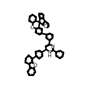 C1=C(c2cccc(-c3ccc4c(c3)C3(c5ccccc5O4)c4ccccc4-c4ccccc43)c2)N=C(c2ccccc2)NC1c1ccc(-c2cccc3c2oc2ccccc23)cc1